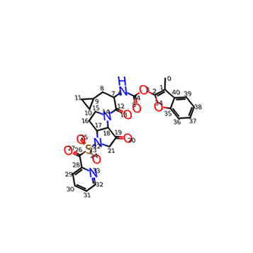 Cc1c(OC(=O)NC(CC2CC2)C(=O)N2CCC3C2C(=O)CN3S(=O)(=O)C(=O)c2ccccn2)oc2ccccc12